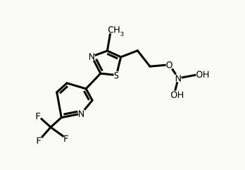 Cc1nc(-c2ccc(C(F)(F)F)nc2)sc1CCON(O)O